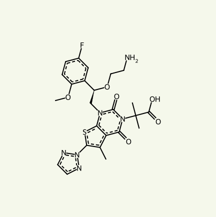 COc1ccc(F)cc1[C@H](Cn1c(=O)n(C(C)(C)C(=O)O)c(=O)c2c(C)c(-n3nccn3)sc21)OCCN